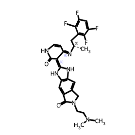 C[C@@H](Cc1c(F)c(F)cc(F)c1F)/N=C1\C=CNC(=O)\C1=C1\Nc2cc3c(cc2N1)C(=O)N(CCN(C)C)C3